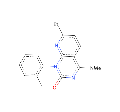 CCc1ccc2c(NC)nc(=O)n(-c3ccccc3C)c2n1